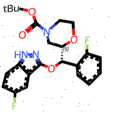 CC(C)(C)OC(=O)N1CCO[C@H](C(Oc2n[nH]c3ccc(F)cc23)c2ccccc2F)C1